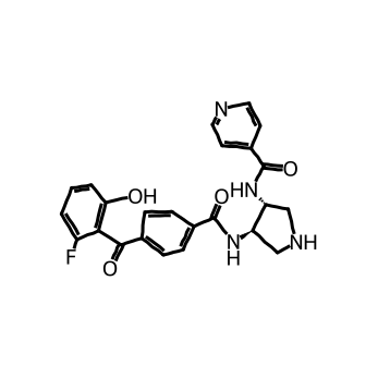 O=C(N[C@@H]1CNC[C@H]1NC(=O)c1ccc(C(=O)c2c(O)cccc2F)cc1)c1ccncc1